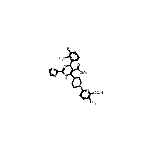 COC(=O)C1=C(C2CCN(c3ccc(C)c(C(=O)O)n3)CC2)NC(c2nccs2)=NC1c1cccc(F)c1C